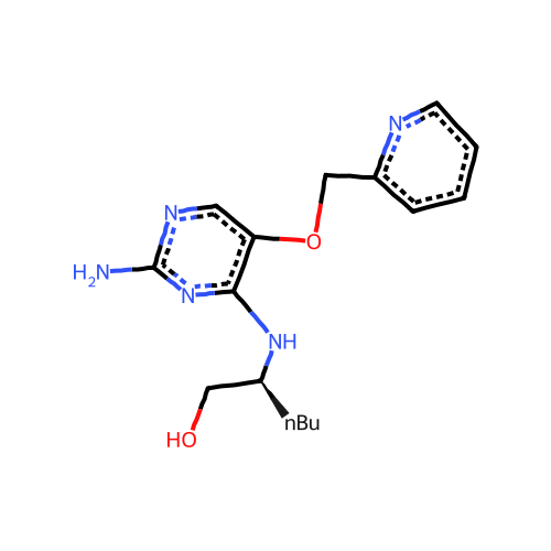 CCCC[C@@H](CO)Nc1nc(N)ncc1OCc1ccccn1